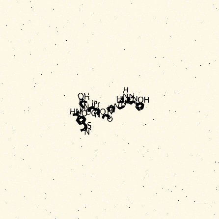 Cc1ncsc1-c1ccc(C(C)NC(=O)[C@@H]2C[C@@H](O)CN2C(=O)C(c2cc(OC(C)C(=O)N3CCC(N4CCN5c6cc(-c7ccccc7O)nnc6NC[C@H]5C4)C3)no2)C(C)C)cc1